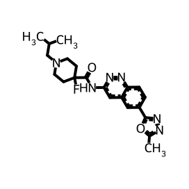 Cc1nnc(-c2ccc3nnc(NC(=O)C4(F)CCN(CC(C)C)CC4)cc3c2)o1